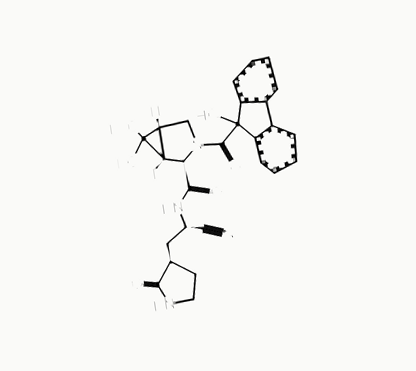 CC1(C)[C@@H]2[C@H]1CN(C(=O)C1(O)c3ccccc3-c3ccccc31)[C@H]2C(=O)N[C@@H](C#N)C[C@H]1CCNC1=O